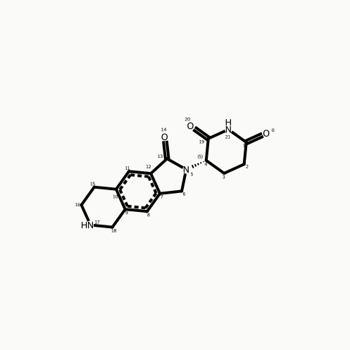 O=C1CC[C@H](N2Cc3cc4c(cc3C2=O)CCNC4)C(=O)N1